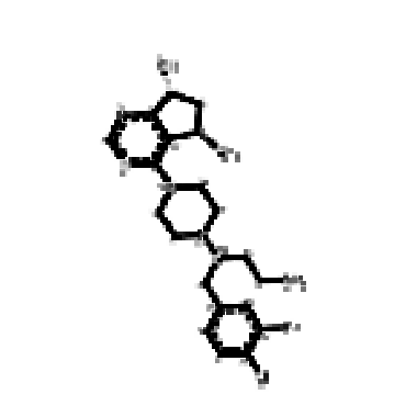 C[C@@H]1C[C@@H](O)c2ncnc(N3CCN(N(CCN)Cc4ccc(Cl)c(F)c4)CC3)c21